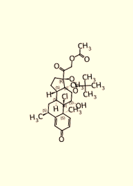 CC(=O)OCC(=O)[C@@]1(OC(=O)C(C)(C)C)CC[C@H]2[C@@H]3C[C@H](C)C4=CC(=O)C=C[C@]4(C)[C@@]3(Cl)[C@@H](O)C[C@@]21C